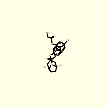 NCC(=O)Nc1cc(Cl)cnc1OCC(=O)N1[C@@H]2CC[C@H]1CC(Oc1ccc(F)cc1)C2